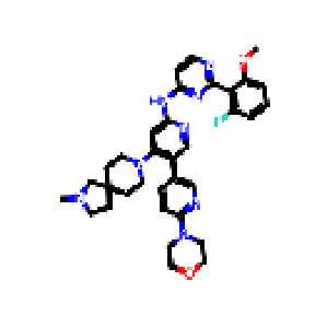 COc1cccc(F)c1-c1nccc(Nc2cc(N3CCC4(CCN(C)C4)CC3)c(-c3ccc(N4CCOCC4)nc3)cn2)n1